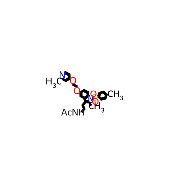 CC(=O)NCCc1c(C)n(S(=O)(=O)c2ccc(C)cc2)c2ccc(OCCOc3ccnc(C)c3)cc12